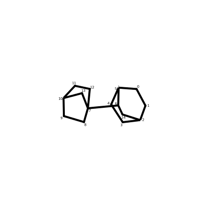 C1CC2CC[C]1C(C13CCC(CC1)C3)C2